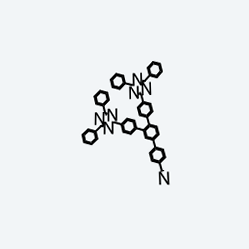 N#Cc1ccc(-c2ccc(-c3ccc(-c4nc(-c5ccccc5)nc(-c5ccccc5)n4)cc3)c(-c3ccc(-c4nc(-c5ccccc5)nc(-c5ccccc5)n4)cc3)c2)cc1